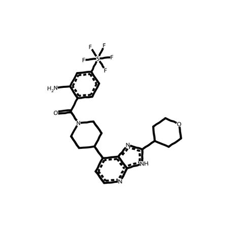 Nc1cc(S(F)(F)(F)(F)F)ccc1C(=O)N1CCC(c2ccnc3[nH]c(C4CCOCC4)nc23)CC1